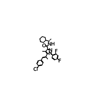 C/C(=C\c1ccc(Cl)cc1)c1c(C)c(C(=O)N[C@H](C)C2CCCCC2)nn1-c1ccc(F)cc1F